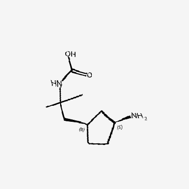 CC(C)(C[C@@H]1CC[C@H](N)C1)NC(=O)O